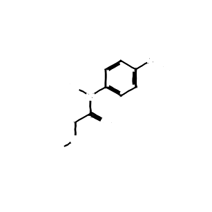 COCC(=O)N(C)c1ccc(N)cc1